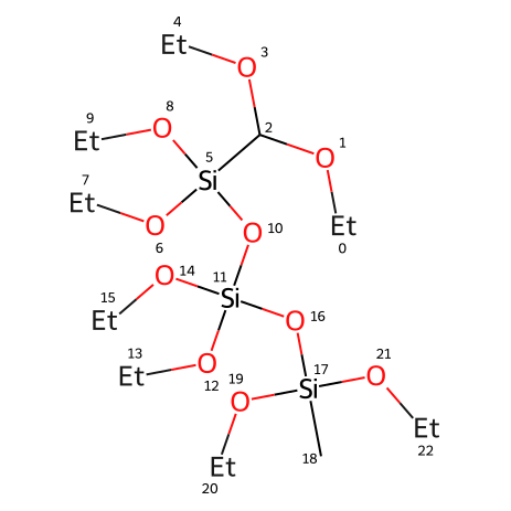 CCOC(OCC)[Si](OCC)(OCC)O[Si](OCC)(OCC)O[Si](C)(OCC)OCC